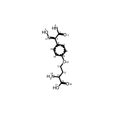 [NH]C(=O)C(=NO)c1ccc(OCCC(N)C(=O)O)cc1